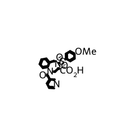 COc1ccc(S(=O)(=O)N2Cc3ccccc3N(C(=O)c3cccnc3)CC2C(=O)O)cc1